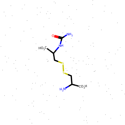 NC(=O)NC(CSSCC(N)C(=O)O)C(=O)O